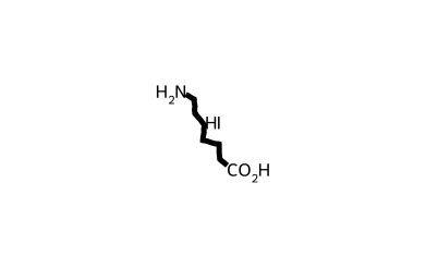 I.NCCCCCCC(=O)O